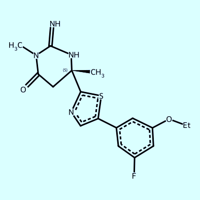 CCOc1cc(F)cc(-c2cnc([C@]3(C)CC(=O)N(C)C(=N)N3)s2)c1